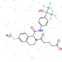 CSc1ccc2c(c1)CCN(C(=O)CCCC(=O)O)C2C(=O)Nc1ccc(C(O)(C(F)(F)F)C(F)(F)F)cc1